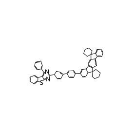 C1=CC(c2nc(-c3ccccc3)c3c(n2)sc2ccccc23)CC=C1c1ccc(C2=CC3c4cc5c(cc4C4(CCCCC4)C3C=C2)-c2ccccc2C52CCCCC2)cc1